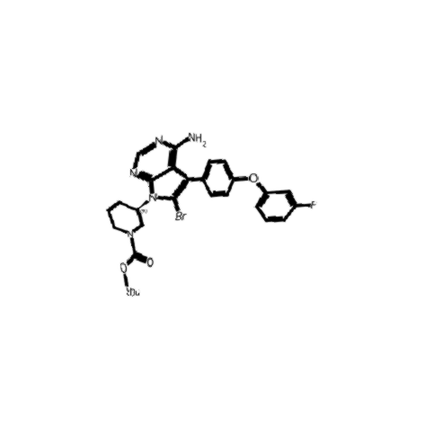 CC(C)(C)OC(=O)N1CCC[C@@H](n2c(Br)c(-c3ccc(Oc4cccc(F)c4)cc3)c3c(N)ncnc32)C1